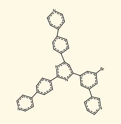 Brc1cc(-c2cccnc2)cc(-c2cc(-c3ccc(-c4ccncc4)cc3)nc(-c3ccc(-c4ccncc4)cc3)n2)c1